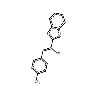 N#C/C(=C\c1ccc(C(F)(F)F)cc1)c1nc2ccccc2s1